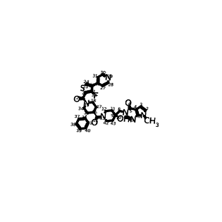 Cn1ccc2c(=O)n(CC3(O)CCN(C(=O)[C@@H]4CCN(C(=O)c5scc(-c6ccncc6)c5F)C[C@H]4c4ccccc4)CC3)cnc21